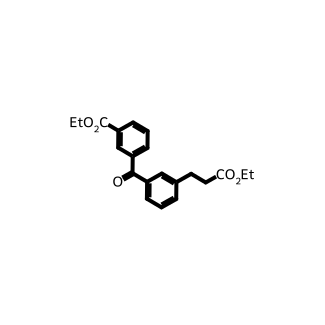 CCOC(=O)CCc1cccc(C(=O)c2cccc(C(=O)OCC)c2)c1